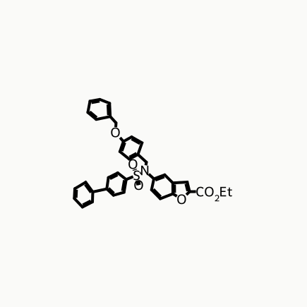 CCOC(=O)c1cc2cc(N(Cc3ccc(OCc4ccccc4)cc3)S(=O)(=O)c3ccc(-c4ccccc4)cc3)ccc2o1